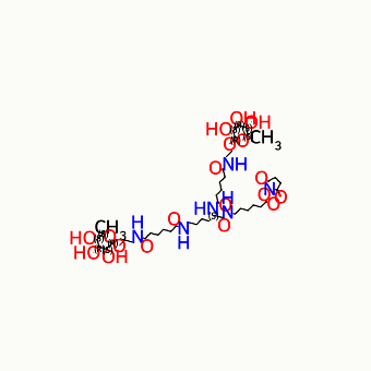 C[C@@H]1O[C@@H](OCCNC(=O)CCCCC(=O)NCCCC[C@H](NC(=O)CCCCC(=O)NCCO[C@@H]2O[C@@H](C)[C@@H](O)[C@@H](O)[C@@H]2O)C(=O)NCCCCCC(=O)ON2C(=O)CCC2=O)[C@@H](O)[C@H](O)[C@@H]1O